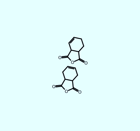 O=C1OC(=O)C2CC=CCC12.O=C1OC(=O)C2CCC=CC12